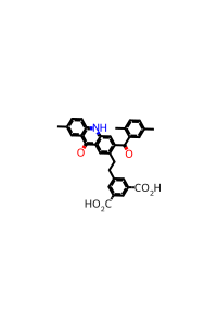 Cc1ccc(C)c(C(=O)c2cc3[nH]c4ccc(C)cc4c(=O)c3cc2CCc2cc(C(=O)O)cc(C(=O)O)c2)c1